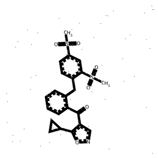 CS(=O)(=O)c1ccc(Cc2ccccc2C(=O)c2cnoc2C2CC2)c(S(C)(=O)=O)c1